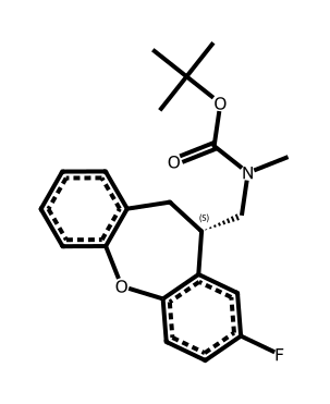 CN(C[C@H]1Cc2ccccc2Oc2ccc(F)cc21)C(=O)OC(C)(C)C